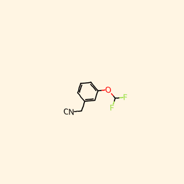 [C-]#[N+]Cc1cccc(OC(F)F)c1